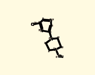 CC(C)(C)N1CCN(c2cncc(Cl)n2)CC1